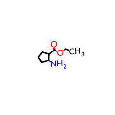 CCOC(=O)C1CCC[C@@H]1N